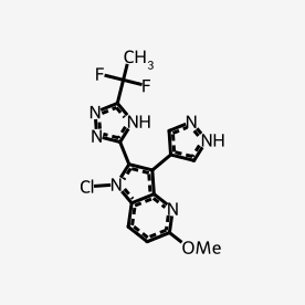 COc1ccc2c(n1)c(-c1cn[nH]c1)c(-c1nnc(C(C)(F)F)[nH]1)n2Cl